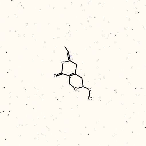 C/C=C1/CC2=C(COC(OCC)C2)C(=O)O1